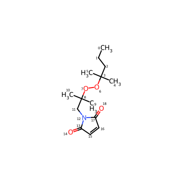 CCCC(C)(C)OOC(C)(C)CN1C(=O)C=CC1=O